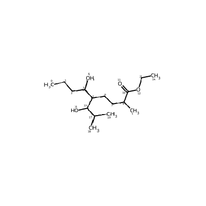 CCCC(O)C(CCC(C)C(=O)OCC)C(O)C(C)C